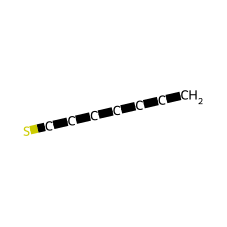 C=C=C=C=C=C=C=S